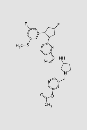 CSc1cc(F)cc(C2CC(F)CN2c2ccc3ncc(NC4CCN(Cc5cccc(OC(C)=O)c5)C4)n3n2)c1